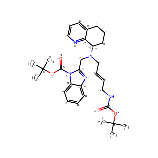 CC(C)(C)OC(=O)NCC=CCN(Cc1nc2ccccc2n1C(=O)OC(C)(C)C)[C@H]1CCCc2cccnc21